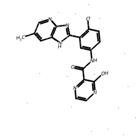 Cc1cnc2nc(-c3cc(NC(=O)c4nccnc4O)ccc3Cl)[nH]c2c1